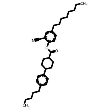 CCCCCCCCc1ccc(OC(=O)C2CCC(c3ccc(CCCCC)cc3)CC2)c(C#N)c1